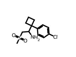 CS(=O)(=O)CC(N)C1(c2ccc(Cl)cc2)CCC1